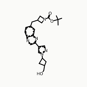 CC(C)(C)OC(=O)N1CC(Cc2ccc3ncc(-c4cnn(C5CC(CO)C5)c4)nc3c2)C1